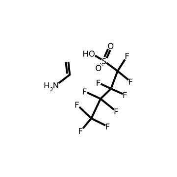 C=CN.O=S(=O)(O)C(F)(F)C(F)(F)C(F)(F)C(F)(F)F